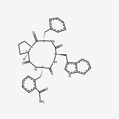 NC(=O)c1ccccc1C[C@@H]1NC(=O)[C@H]2CCCN2C(=O)[C@H](Cc2ccccc2)NC(=O)[C@@H](Cc2c[nH]c3ccccc23)NC1=O